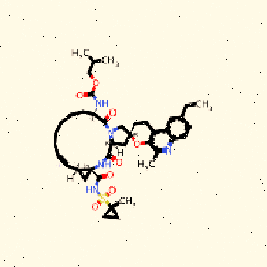 CCc1ccc2nc(C)c3c(c2c1)CC[C@]1(C[C@H]2C(=O)N[C@]4(C(=O)NS(=O)(=O)C5(C)CC5)C[C@H]4/C=C\CCCCC[C@H](NC(=O)OCC(C)C)C(=O)N2C1)O3